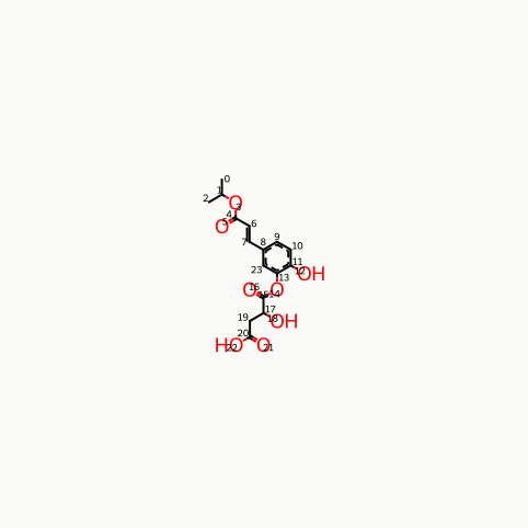 CC(C)OC(=O)/C=C/c1ccc(O)c(OC(=O)C(O)CC(=O)O)c1